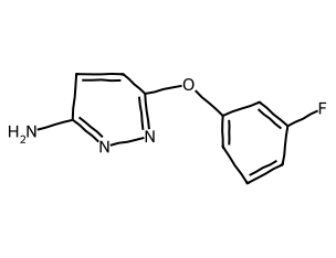 Nc1ccc(Oc2cccc(F)c2)nn1